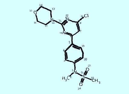 CN(c1ccc(-c2cc(Cl)nc(N3CCOCC3)n2)cc1)S(C)(=O)=O